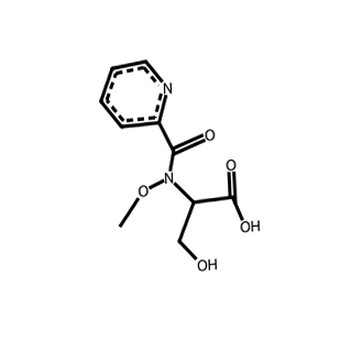 CON(C(=O)c1ccccn1)C(CO)C(=O)O